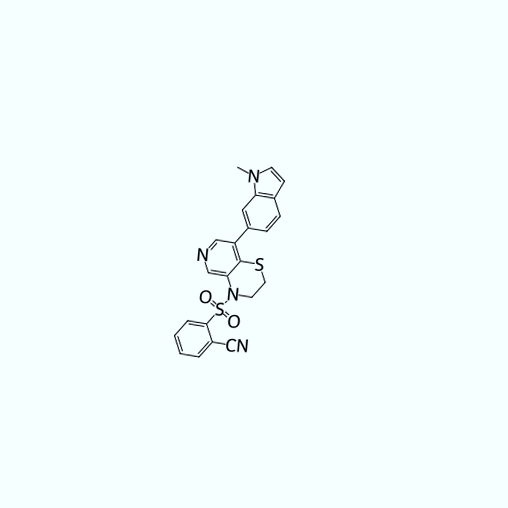 Cn1ccc2ccc(-c3cncc4c3SCCN4S(=O)(=O)c3ccccc3C#N)cc21